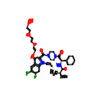 CN[C@@H](C)C(=O)N[C@H](C(=O)N1CCN(C(=O)c2c(OCCOCCOCCO)c3cc(F)c(F)cc3n2C)CC1)C1CCCCC1